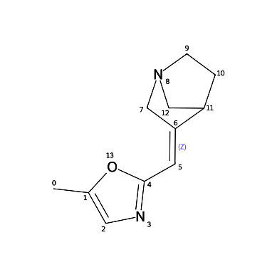 Cc1cnc(/C=C2\CN3CCC2C3)o1